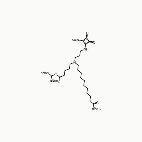 CCCCCCCCCC(CCCCCCCCC)OC(=O)CCCCN(CCCCCCCCCOC(=O)CCCCC)CCCNc1c(NC)c(=O)c1=O